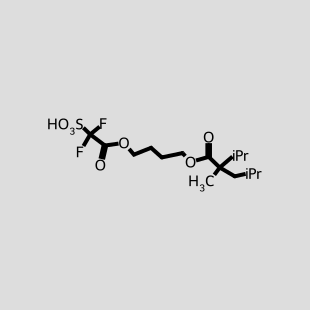 CC(C)CC(C)(C(=O)OCCCCOC(=O)C(F)(F)S(=O)(=O)O)C(C)C